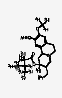 [2H]C([2H])([2H])Oc1cc2c(cc1OC)C1CC([2H])(OC(=O)[C@@]([2H])(N)C([2H])(C([2H])([2H])[2H])C([2H])([2H])[2H])C(CC(C)C)CN1CC2